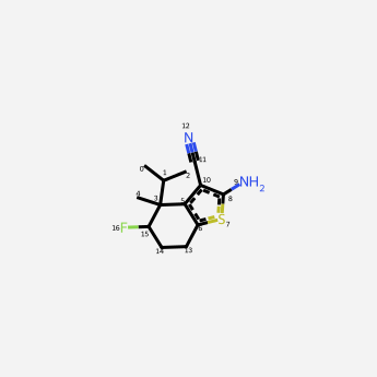 CC(C)C1(C)c2c(sc(N)c2C#N)CCC1F